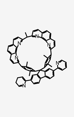 Cc1cc2c(C)cc1-c1ccc3ccc4ccc(nc4c3n1)C(C)c1ccc3ccc4ccc(nc4c3n1)-c1cc(C)c(cc1C)C21c2cc(C3=CCCC=N3)ccc2-c2ccc(-c3ccccn3)cc21